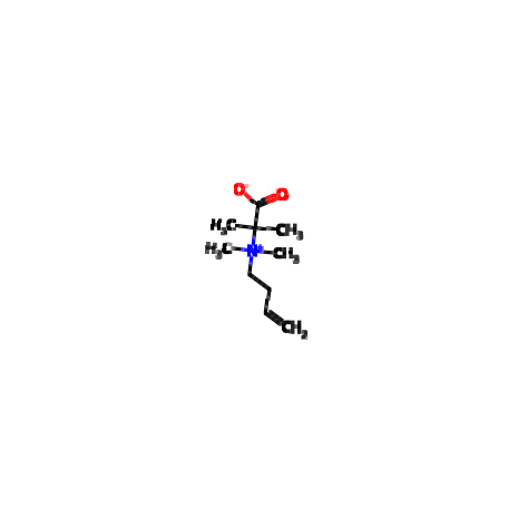 C=CCC[N+](C)(C)C(C)(C)C(=O)[O-]